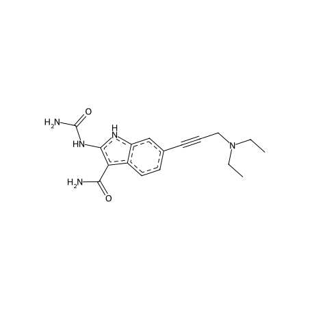 CCN(CC)CC#Cc1ccc2c(C(N)=O)c(NC(N)=O)[nH]c2c1